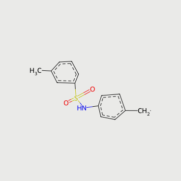 [CH2]c1ccc(NS(=O)(=O)c2cccc(C)c2)cc1